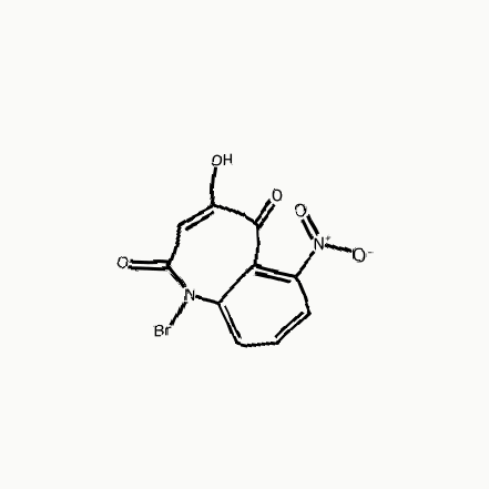 O=c1c(O)cc(=O)n(Br)c2cccc([N+](=O)[O-])c12